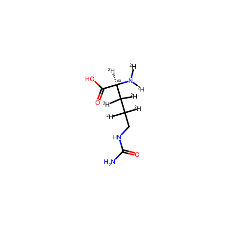 [2H]N([2H])[C@]([2H])(C(=O)O)C([2H])([2H])C([2H])([2H])CNC(N)=O